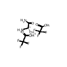 C[C@H](N)C(N)=O.O=C(O)C(F)(F)F.O=C(O)C(F)(F)F